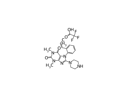 C/C=C\c1ccccc1-n1c(N2CCNCC2)nc2c1c(=O)n(C)c(=O)n2C.O=C(O)C(F)(F)F